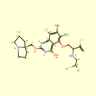 C=C(F)C(COc1c(Cl)c(Br)c(F)c2nc(OC[C@@]34CCCN3C[C@H](F)C4)nc(O)c12)NCC(F)F